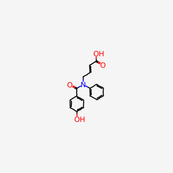 O=C(O)C=CCN(C(=O)c1ccc(O)cc1)c1ccccc1